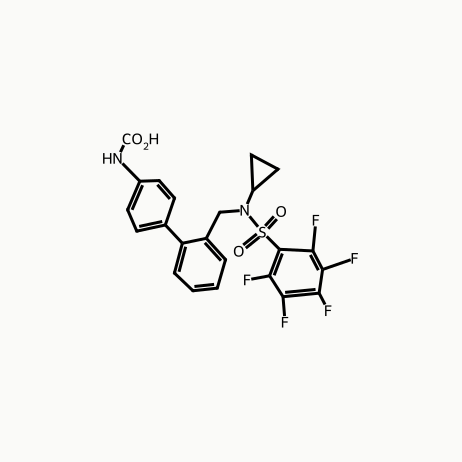 O=C(O)Nc1ccc(-c2ccccc2CN(C2CC2)S(=O)(=O)c2c(F)c(F)c(F)c(F)c2F)cc1